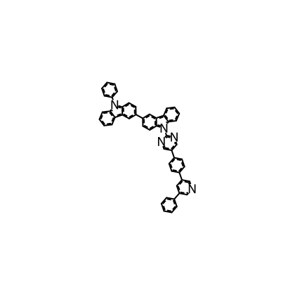 c1ccc(-c2cncc(-c3ccc(-c4cnc(-n5c6ccccc6c6cc(-c7ccc8c(c7)c7ccccc7n8-c7ccccc7)ccc65)nc4)cc3)c2)cc1